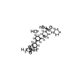 CCCCN(C(=O)CC1CCCCC1)C1CCN(Cc2cccc(-c3ccc(NS(C)(=O)=O)cc3)c2)CC1.Cl